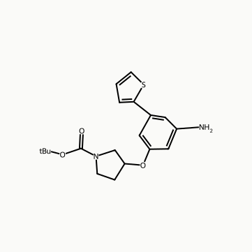 CC(C)(C)OC(=O)N1CCC(Oc2cc(N)cc(-c3cccs3)c2)C1